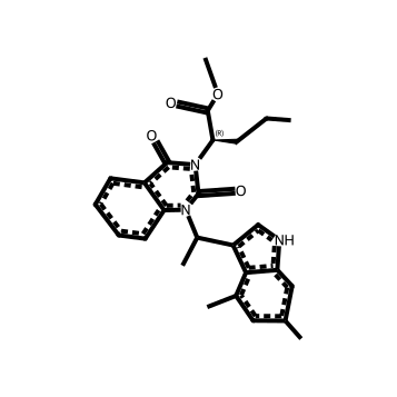 CCC[C@H](C(=O)OC)n1c(=O)c2ccccc2n(C(C)c2c[nH]c3cc(C)cc(C)c23)c1=O